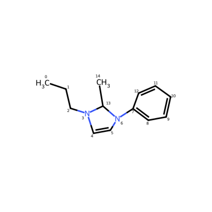 CCCN1C=CN(c2ccccc2)C1C